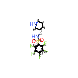 O=S(=O)(NC[C@H]1CCCNC1)c1c(F)c(F)c(F)c(F)c1F